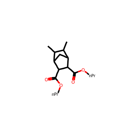 CCCOC(=O)C1C2CC(C(C)C2C)C1C(=O)OCCC